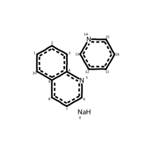 [NaH].c1ccc2ncccc2c1.c1ccncc1